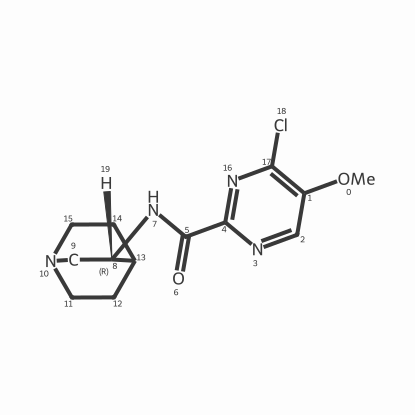 COc1cnc(C(=O)N[C@H]2CN3CCC2CC3)nc1Cl